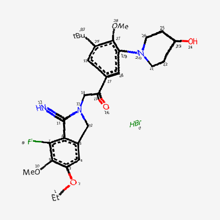 Br.CCOc1cc2c(c(F)c1OC)C(=N)N(CC(=O)c1cc(N3CCC(O)CC3)c(OC)c(C(C)(C)C)c1)C2